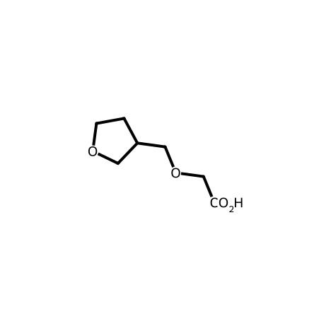 O=C(O)COCC1CCOC1